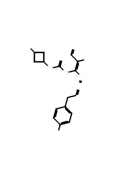 C/C(C=O)=C(\N=C=CCc1ccc(Cl)cc1)NC(=O)NC1CC(C)C1